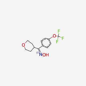 O/N=C(\c1ccc(OC(F)(F)F)cc1)C1CCOCC1